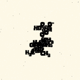 CC(O)CC(=O)O.CCC(O)C(=O)O.C[N+](C)(C)CCOC(=O)CC(O)(CC(=O)[O-])C(=O)O